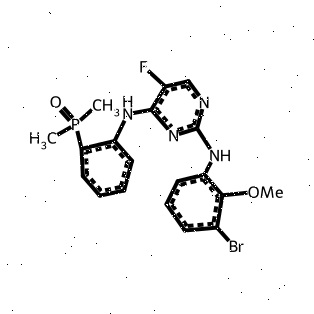 COc1c(Br)cccc1Nc1ncc(F)c(Nc2ccccc2P(C)(C)=O)n1